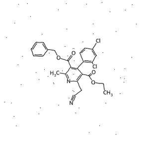 CCOC(=O)c1c(CC#N)nc(C)c(C(=O)OCc2ccccc2)c1-c1ccc(Cl)cc1Cl